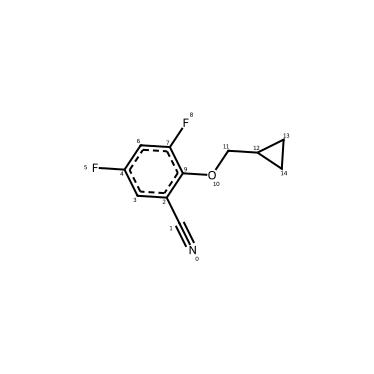 N#Cc1cc(F)cc(F)c1OCC1CC1